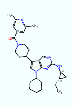 CC[C@H]1C[C@@H]1Nc1ncc2c(C3CCN(C(=O)c4cc(C)nc(C)c4)CC3)cn(C3CCCCC3)c2n1